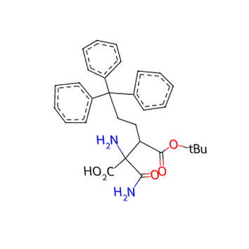 CC(C)(C)OC(=O)C(CCC(c1ccccc1)(c1ccccc1)c1ccccc1)C(N)(C(N)=O)C(=O)O